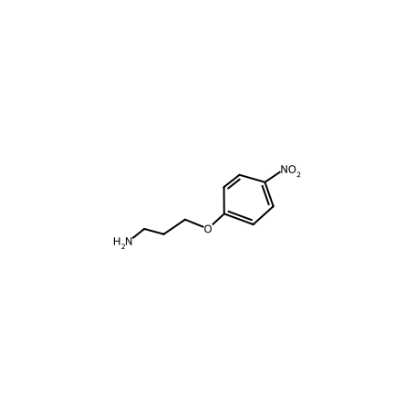 NCCCOc1ccc([N+](=O)[O-])cc1